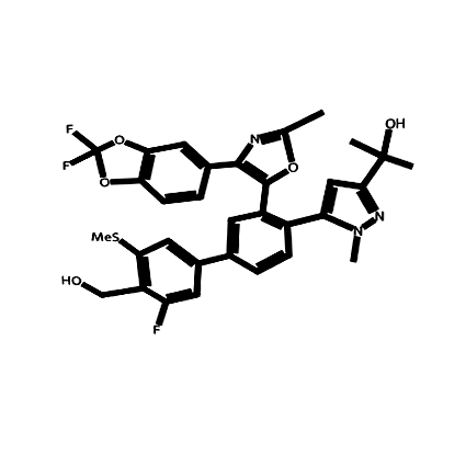 CSc1cc(-c2ccc(-c3cc(C(C)(C)O)nn3C)c(-c3oc(C)nc3-c3ccc4c(c3)OC(F)(F)O4)c2)cc(F)c1CO